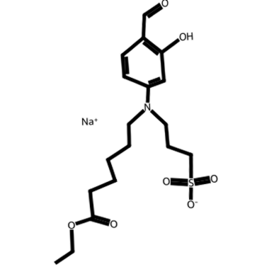 CCOC(=O)CCCCCN(CCCS(=O)(=O)[O-])c1ccc(C=O)c(O)c1.[Na+]